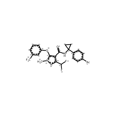 CC(=O)c1ccc(C2(NC(=O)c3c(C(F)F)nn(C)c3Oc3cccc(C(F)(F)F)c3)CC2)cc1